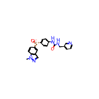 Cn1ncc2cc([S+]([O-])c3ccc(NC(=O)NCc4cccnc4)cc3)ccc21